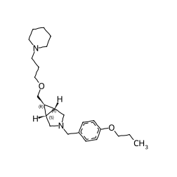 CCCOc1ccc(CN2C[C@@H]3[C@@H](COCCCN4CCCCC4)[C@@H]3C2)cc1